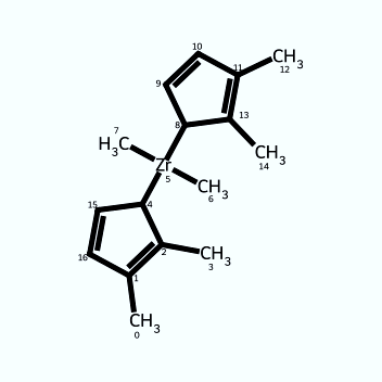 CC1=C(C)[CH]([Zr]([CH3])([CH3])[CH]2C=CC(C)=C2C)C=C1